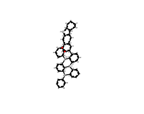 c1ccc(N2c3ccccc3B3c4cccc(-c5ccc6cc7oc8ccccc8c7cc6c5)c4N(c4ccccc4)c4cccc2c43)cc1